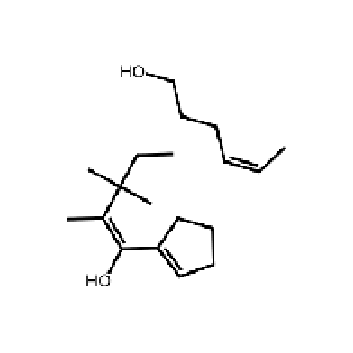 C/C=C\CCCO.CCC(C)(C)C(C)=C(O)C1=CCCC1